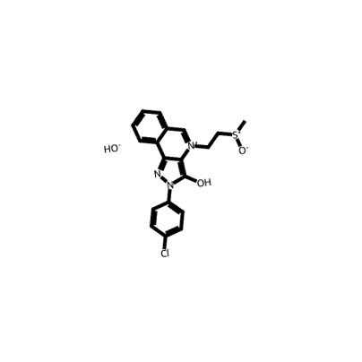 C[S+]([O-])CC[n+]1cc2ccccc2c2nn(-c3ccc(Cl)cc3)c(O)c21.[OH-]